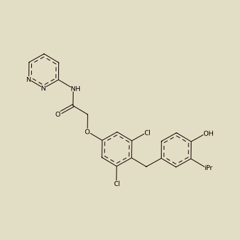 CC(C)c1cc(Cc2c(Cl)cc(OCC(=O)Nc3cccnn3)cc2Cl)ccc1O